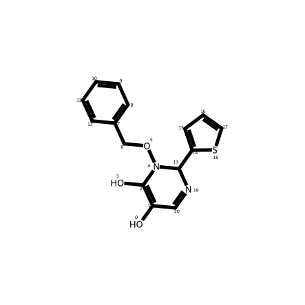 OC1=C(O)N(OCc2ccccc2)C(c2cccs2)N=C1